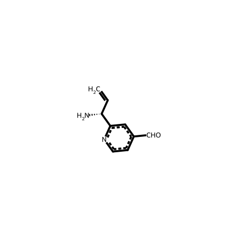 C=C[C@@H](N)c1cc(C=O)ccn1